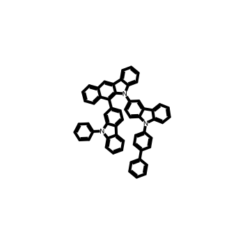 c1ccc(-c2ccc(-n3c4ccccc4c4cc(-n5c6ccccc6c6cc7ccccc7c(-c7ccc8c9ccccc9n(-c9ccccc9)c8c7)c65)ccc43)cc2)cc1